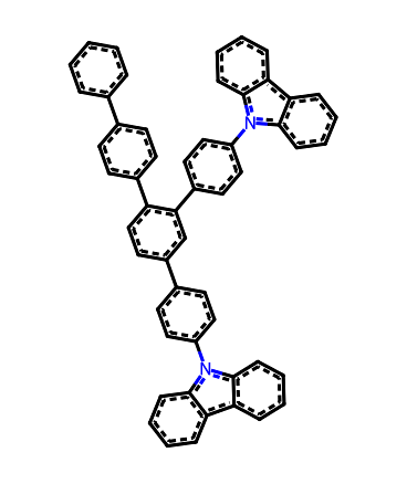 c1ccc(-c2ccc(-c3ccc(-c4ccc(-n5c6ccccc6c6ccccc65)cc4)cc3-c3ccc(-n4c5ccccc5c5ccccc54)cc3)cc2)cc1